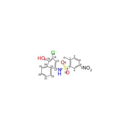 Cc1ccc([N+](=O)[O-])cc1S(=O)(=O)Nc1cc(Cl)c(O)c2ccccc12